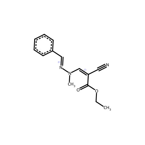 CCOC(=O)/C(C#N)=C\N(C)/N=C/c1ccccc1